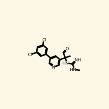 CNC(=N)NC(C)(C=O)c1cncc(-c2cc(Cl)cc(Cl)c2)c1